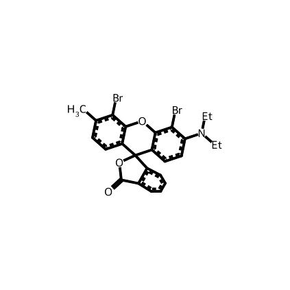 CCN(CC)c1ccc2c(c1Br)Oc1c(ccc(C)c1Br)C21OC(=O)c2ccccc21